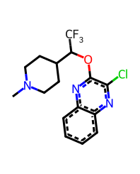 CN1CCC(C(Oc2nc3ccccc3nc2Cl)C(F)(F)F)CC1